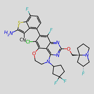 N#Cc1c(N)sc2c(F)ccc(-c3c(Cl)c4c5c(nc(OC[C@@]67CCCN6C[C@H](F)C7)nc5c3F)N(C3CCC(F)(F)C3)CCO4)c12